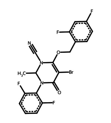 CC1N(C#N)C(OCc2ccc(F)cc2F)=C(Br)C(=O)N1c1c(F)cccc1F